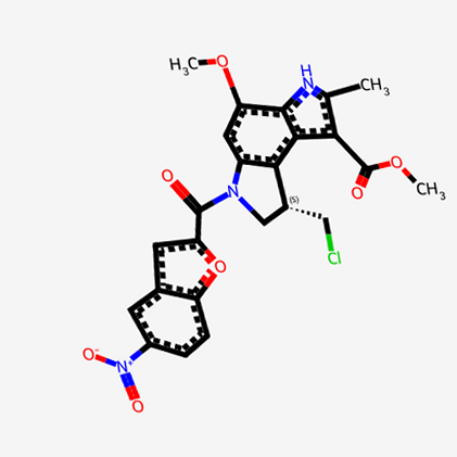 COC(=O)c1c(C)[nH]c2c(OC)cc3c(c12)[C@H](CCl)CN3C(=O)c1cc2cc([N+](=O)[O-])ccc2o1